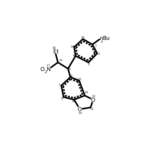 CCCCc1ccc(C(c2ccc3c(c2)OCO3)C(CC)[N+](=O)[O-])cc1